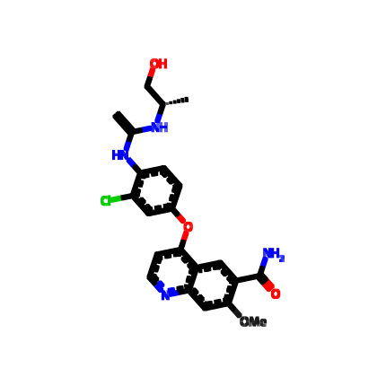 C=C(Nc1ccc(Oc2ccnc3cc(OC)c(C(N)=O)cc23)cc1Cl)N[C@@H](C)CO